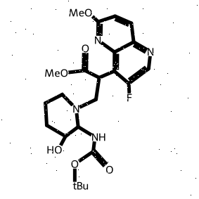 COC(=O)C(CN1CCCC(O)C1NC(=O)OC(C)(C)C)c1c(F)cnc2ccc(OC)nc12